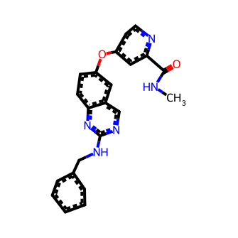 CNC(=O)c1cc(Oc2ccc3nc(NCc4ccccc4)ncc3c2)ccn1